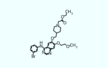 CCOC(=O)CN1CCC(COc2cc3c(Nc4cccc(Br)c4)ncnc3cc2OCCOC)CC1